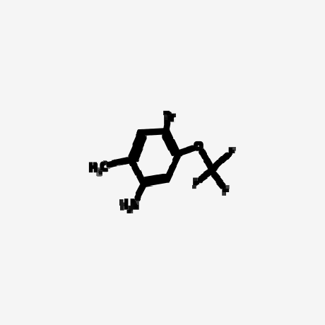 Cc1cc(Br)c(OC(F)(F)F)cc1N